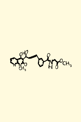 COC(=O)CNC(=O)c1cccc(C=CC(=O)c2c(O)c3cccnc3n(C)c2=O)c1